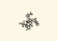 CC(C)(C)[Si](C)(C)O[C@@H]1C[C@H]2C[C@@H]1CN(c1nc(OCC34CCCN3CC(=C(F)F)C4)nc3c(F)c(-c4ccc(F)c5sc(NC(=O)O)c(C#N)c45)c(Cl)cc13)C2